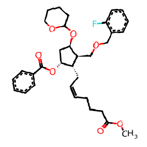 COC(=O)CCC/C=C\C[C@H]1[C@H](COCc2ccccc2F)[C@H](OC2CCCCO2)C[C@H]1OC(=O)c1ccccc1